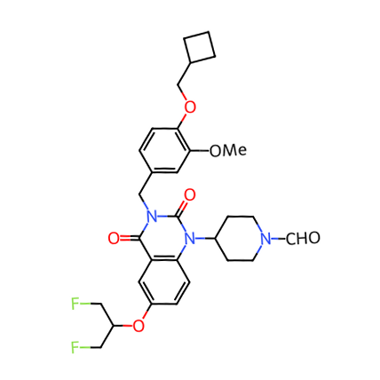 COc1cc(Cn2c(=O)c3cc(OC(CF)CF)ccc3n(C3CCN(C=O)CC3)c2=O)ccc1OCC1CCC1